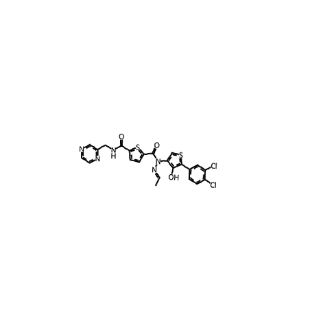 CC=NN(C(=O)c1ccc(C(=O)NCc2cnccn2)s1)c1csc(-c2ccc(Cl)c(Cl)c2)c1O